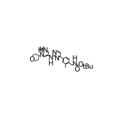 Cc1cc(-c2ccnc(N/C(C=N)=C/NC3CCOCC3)n2)ccc1CNC(=O)OC(C)(C)C